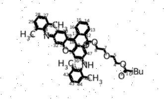 CCC(C)C(=O)OCCOCCOC(=O)c1ccccc1-c1c2cc/c(=N\c3c(C)cccc3C)cc-2oc2cc(Nc3c(C)cccc3C)ccc12